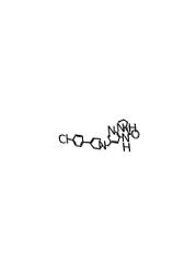 O=C1Nc2cc(CN3CC=C(c4ccc(Cl)cc4)CC3)cnc2N2CCC[C@@H]12